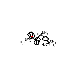 COC(=O)C12CC3CC(C1)CC(C14CC5CC(CC(C(=O)N(C)C6CCC(C(C)(C)C)CC6)(C5)C1)C4)(C3)C2